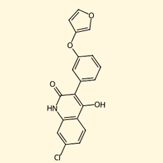 O=c1[nH]c2cc(Cl)ccc2c(O)c1-c1cccc(Oc2ccoc2)c1